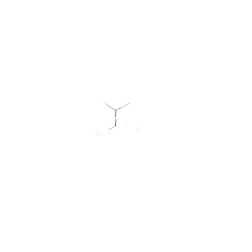 CC(C)[CH2][Al+2].[Cl-].[H-]